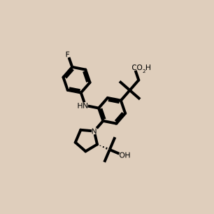 CC(C)(CC(=O)O)c1ccc(N2CCC[C@H]2C(C)(C)O)c(Nc2ccc(F)cc2)c1